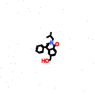 CC(C)Cn1[c]c(-c2ccccc2)c2cc(CO)ccc2c1=O